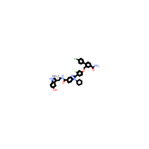 NC(=O)c1ccc(-c2ccc(Cl)cc2)c(COc2ccc(-c3nc4cc(C(=O)NC(Cc5c[nH]c6ccc(O)cc56)C(=O)O)ccc4n3C3CCCCC3)c(F)c2)c1